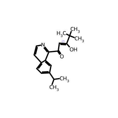 CC(C)c1ccc2ccnc(C(=O)/C=C(\O)C(C)(C)C)c2c1